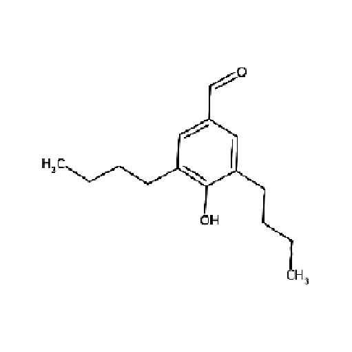 CCCCc1cc(C=O)cc(CCCC)c1O